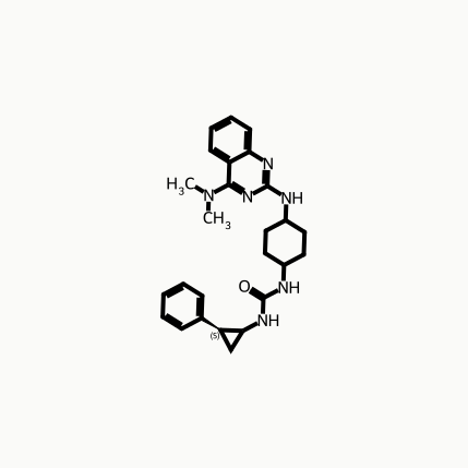 CN(C)c1nc(NC2CCC(NC(=O)NC3C[C@H]3c3ccccc3)CC2)nc2ccccc12